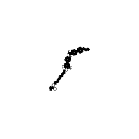 C=C(C)C(=O)OCCCCCCCCCCOc1c(F)cc(-c2ccc(OC(F)(F)c3ccc(-c4ccc(CCCC)cc4)cc3)cc2)cc1F